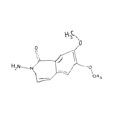 COc1cc2ccn(N)c(=O)c2cc1OC